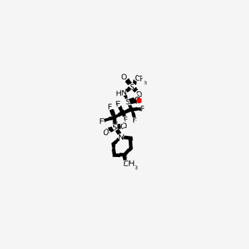 CC1CCN(S(=O)(=O)C(F)(F)C(F)(F)C(F)(F)S(=O)(=O)NS(=O)(=O)C(F)(F)F)CC1